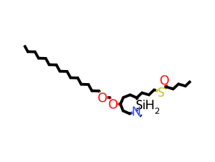 CCCCCCCCCCCCCCCOCOC1CCC(CCCSC(=O)CCCC)[SiH2]N(C)CC1